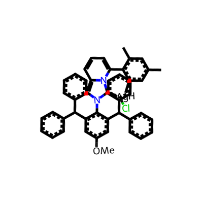 COc1cc(C(c2ccccc2)c2ccccc2)c(N2C=C3C=CC=C(c4c(C)cc(C)cc4C)N3[CH]2[AgH][Cl])c(C(c2ccccc2)c2ccccc2)c1